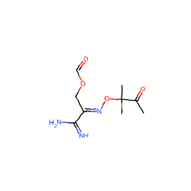 CC(=O)C(C)(C)O/N=C(\COC=O)C(=N)N